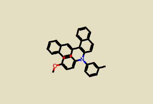 COc1ccc(N(c2cccc(C)c2)c2ccc3ccccc3c2-c2ccc3ccccc3c2)cc1